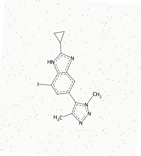 Cc1nnn(C)c1-c1cc(I)c2[nH]c(C3CC3)nc2c1